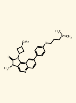 CO[C@H]1C[C@@H](n2c(=O)n(C)c3cnc4ccc(-c5ccc(OCCCN(C)C)cc5)cc4c32)C1